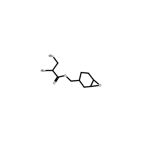 CC(C)(C)CC(C(=O)OCC1CCC2OC2C1)C(C)(C)C